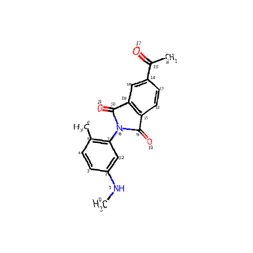 CNc1ccc(C)c(N2C(=O)c3ccc(C(C)=O)cc3C2=O)c1